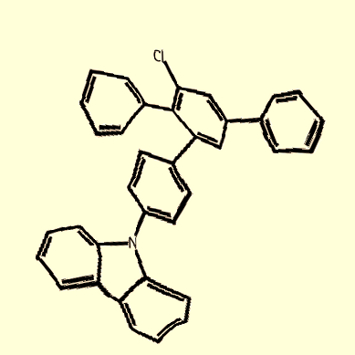 Clc1cc(-c2ccccc2)cc(-c2ccc(-n3c4ccccc4c4ccccc43)cc2)c1-c1ccccc1